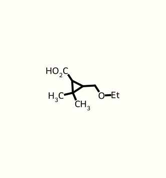 CCOCC1C(C(=O)O)C1(C)C